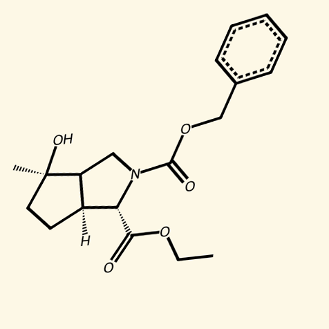 CCOC(=O)[C@@H]1[C@H]2CC[C@@](C)(O)C2CN1C(=O)OCc1ccccc1